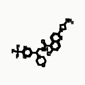 NC1CN(c2ccc3c(C(=O)NCC(c4cnc(C(F)(F)F)nc4)N4CCOCC4)c(Cl)ccc3n2)C1